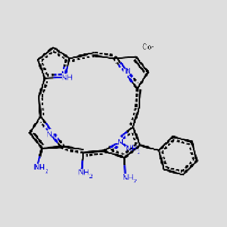 NC1=Cc2cc3ccc(cc4nc(cc5c(-c6ccccc6)c(N)c(c(N)c1n2)n5N)C=C4)[nH]3.[Co]